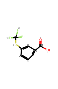 O=C(O)c1cccc(SC(F)(F)F)c1